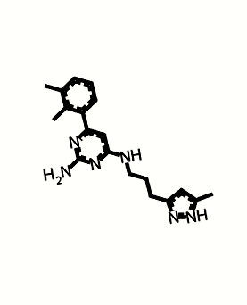 Cc1cc(CCCNc2cc(-c3cccc(C)c3C)nc(N)n2)n[nH]1